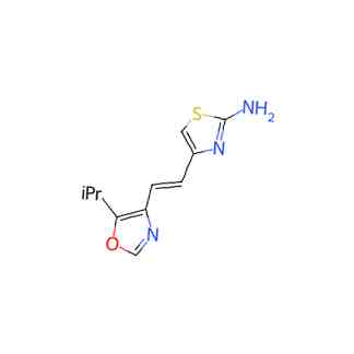 CC(C)c1ocnc1C=Cc1csc(N)n1